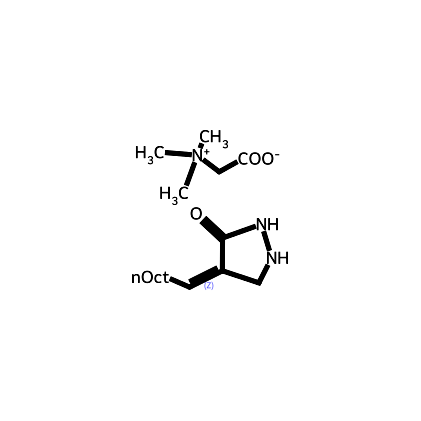 CCCCCCCC/C=C1/CNNC1=O.C[N+](C)(C)CC(=O)[O-]